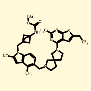 Cc1nc(N2CCC3(CCN(Cc4ccc5c(cc(C#N)n5CC56CC(NC(=O)OC(C)(C)C)(C5)C6)c4C)C3)C2)c2cc(CC(F)(F)F)sc2n1